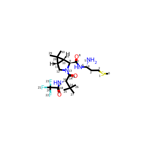 CSCC[C@@H](N)NC(=O)[C@@H]1[C@@H]2[C@H](CN1C(=O)[C@@H](NC(=O)C(F)(F)F)C(C)(C)C)C2(C)C